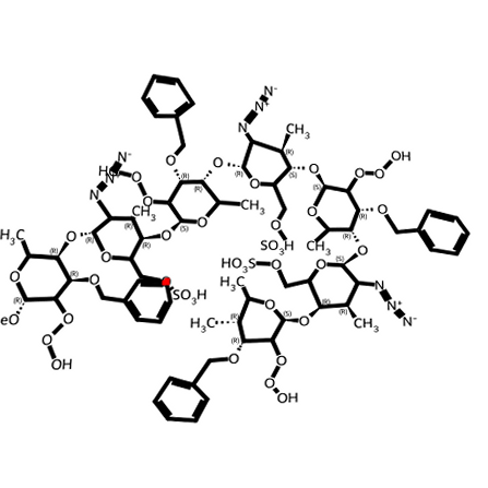 CO[C@@H]1OC(C)[C@@H](O[C@H]2OC(COS(=O)(=O)O)[C@H](O[C@@H]3OC(C)[C@@H](O[C@H]4OC(COS(=O)(=O)O)[C@@H](O[C@@H]5OC(C)[C@@H](O[C@@H]6OC(COS(=O)(=O)O)[C@H](O[C@@H]7OC(C)[C@@H](C)[C@@H](OCc8ccccc8)C7OOO)[C@H](C)C6N=[N+]=[N-])[C@@H](OCc6ccccc6)C5OOO)[C@H](C)C4N=[N+]=[N-])[C@@H](OCc4ccccc4)C3OOO)[C@H](C)C2N=[N+]=[N-])[C@@H](OCc2ccccc2)C1OOO